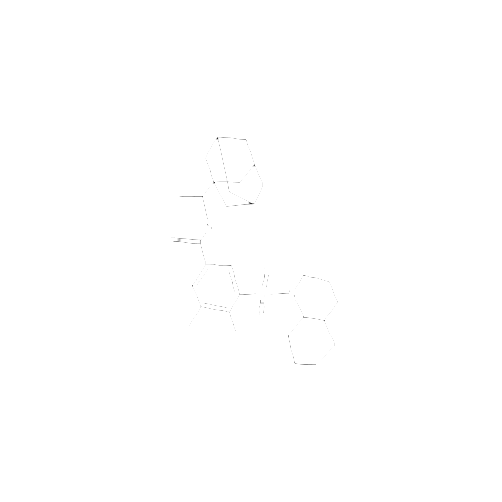 Cc1cc(C(=O)NC(C)C23CC4CC(CC(C4)C2)C3)cc(S(=O)(=O)N2CCCC3CCCCC32)c1C